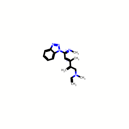 C=CN(C)CC(=C)/C(C)=C/C(=N\C)n1nnc2ccccc21